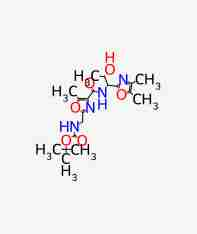 Cc1nc(C(NC(=O)c2nc(CNC(=O)OC(C)(C)C)oc2C)C(C)O)oc1C